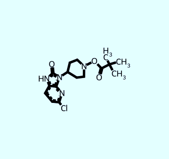 CC(C)(C)C(=O)ON1CCC(n2c(=O)[nH]c3ccc(Cl)nc32)CC1